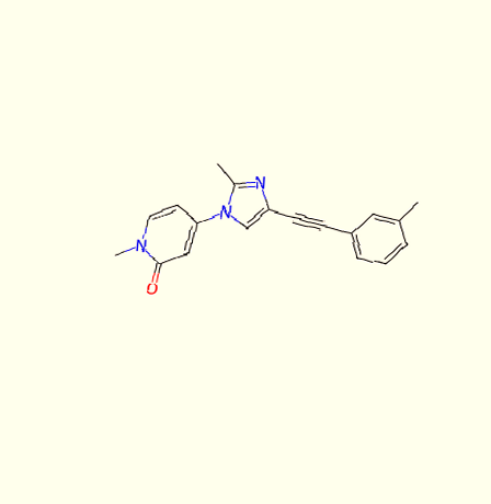 Cc1cccc(C#Cc2cn(-c3ccn(C)c(=O)c3)c(C)n2)c1